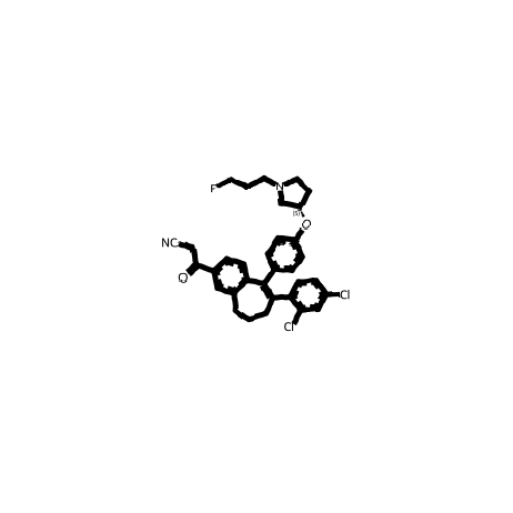 N#CCC(=O)c1ccc2c(c1)CCCC(c1ccc(Cl)cc1Cl)=C2c1ccc(O[C@H]2CCN(CCCF)C2)cc1